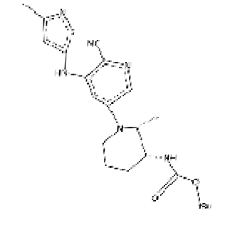 Cc1cc(Nc2cc(N3CCC[C@@H](NC(=O)OC(C)(C)C)[C@H]3C)cnc2C#N)sn1